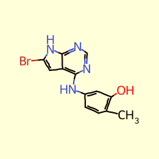 Cc1ccc(Nc2ncnc3[nH]c(Br)cc23)cc1O